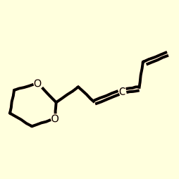 C=CC=C=CCC1OCCCO1